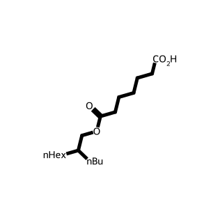 CCCCCCC(CCCC)COC(=O)CCCCCC(=O)O